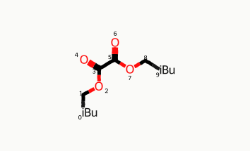 CCC(C)COC(=O)C(=O)OCC(C)CC